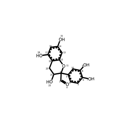 O=CC1(c2ccc(O)c(O)c2)Oc2cc(O)cc(O)c2CC1O